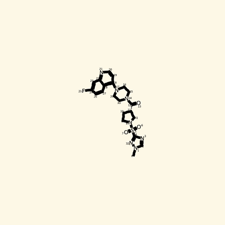 Cn1cnc(S(=O)(=O)N2CC[C@H](C(=O)N3CCN(c4ccnc5cc(F)ccc45)CC3)C2)n1